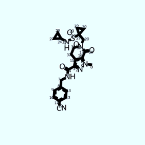 Cn1nc(C(=O)NCc2ccc(C#N)cc2)c2c1C(=O)N(CC1(S(=O)(=O)NC3CC3)CC1)CC2